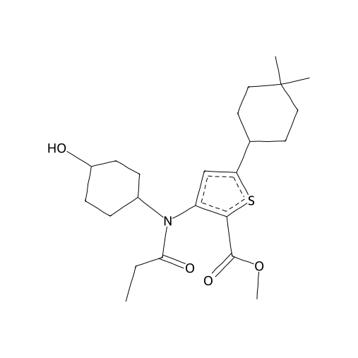 CCC(=O)N(c1cc(C2CCC(C)(C)CC2)sc1C(=O)OC)C1CCC(O)CC1